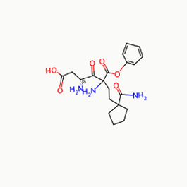 NC(=O)C1(CCC(N)(C(=O)Oc2ccccc2)C(=O)[C@H](N)CC(=O)O)CCCC1